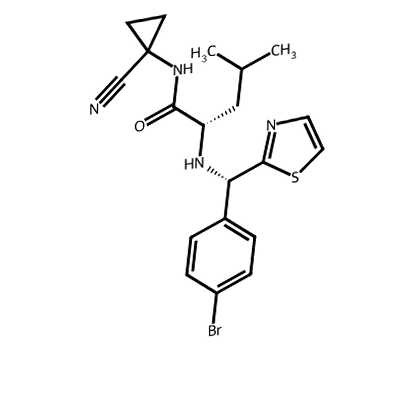 CC(C)C[C@H](N[C@@H](c1ccc(Br)cc1)c1nccs1)C(=O)NC1(C#N)CC1